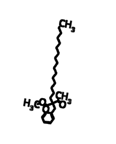 CCCCCCCCCCCCCCCCC(Cc1ccccc1)(C(C)=O)C(=O)OC